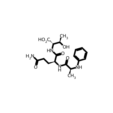 C[C@H](Nc1ccccc1)C(=O)N[C@@H](CCC(N)=O)C(=O)N[C@H](C(=O)O)[C@@H](C)O